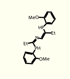 CC/C(=C/N=C(/CC)Pc1ccccc1OC)Pc1ccccc1OC